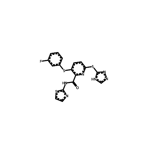 O=C(Nc1nccs1)c1nc(Sc2nnc[nH]2)ccc1Sc1cccc(F)c1